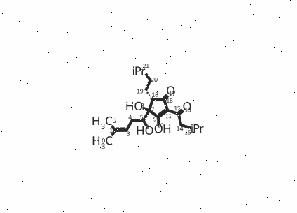 CC(C)=CCC(O)C1(O)C(O)=C(C(=O)CC(C)C)C(=O)[C@H]1CCC(C)C